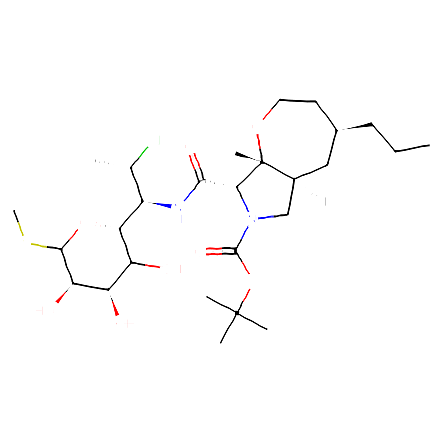 CCC[C@@H]1CCO[C@@H]2[C@@H](C1)CN(C(=O)OC(C)(C)C)[C@@H]2C(=O)N[C@H]([C@H](C)Cl)[C@H]1OC(SC)[C@H](O)[C@H](O)C1O